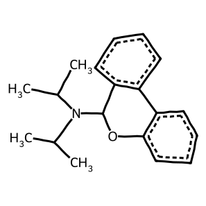 CC(C)N(C(C)C)C1Oc2ccccc2-c2ccccc21